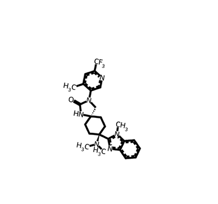 Cc1cc(C(F)(F)F)ncc1N1C[C@]2(CC[C@](c3nc4ccccc4n3C)(N(C)C)CC2)NC1=O